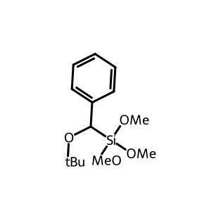 CO[Si](OC)(OC)C(OC(C)(C)C)c1ccccc1